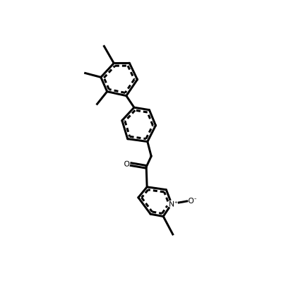 Cc1ccc(-c2ccc(CC(=O)c3ccc(C)[n+]([O-])c3)cc2)c(C)c1C